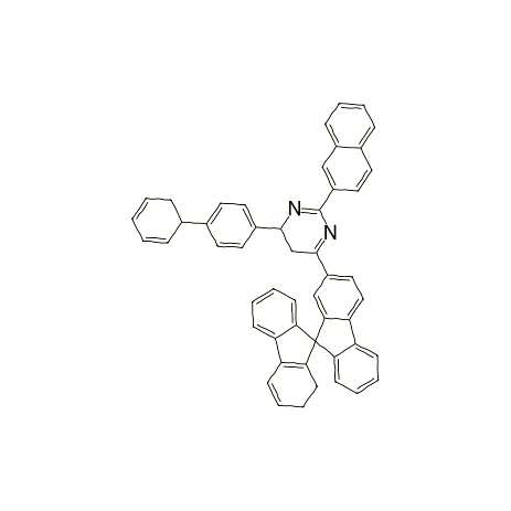 C1=CCC(c2ccc(C3CC(c4ccc5c(c4)C4(C6=C(C=CCC6)c6ccccc64)c4ccccc4-5)=NC(c4ccc5ccccc5c4)=N3)cc2)C=C1